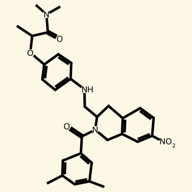 Cc1cc(C)cc(C(=O)N2Cc3cc([N+](=O)[O-])ccc3CC2CNc2ccc(OC(C)C(=O)N(C)C)cc2)c1